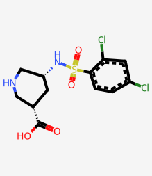 O=C(O)[C@@H]1CNC[C@H](NS(=O)(=O)c2ccc(Cl)cc2Cl)C1